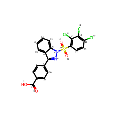 O=C(O)c1ccc(-c2nn(S(=O)(=O)c3ccc(Cl)c(Cl)c3Cl)c3ccccc23)cc1